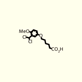 COc1ccc(OCCCCCC(=O)O)cc1C(Cl)Cl